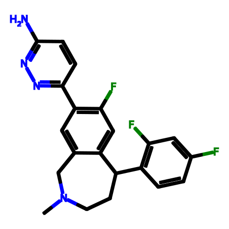 CN1CCC(c2ccc(F)cc2F)c2cc(F)c(-c3ccc(N)nn3)cc2C1